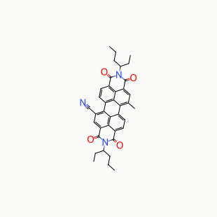 CCCC(CC)N1C(=O)c2ccc3c4c(C#N)cc5c6c(ccc(c7c(C)cc(c2c37)C1=O)c64)C(=O)N(C(CC)CCC)C5=O